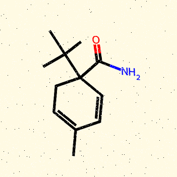 CC1=CCC(C(N)=O)(C(C)(C)C)C=C1